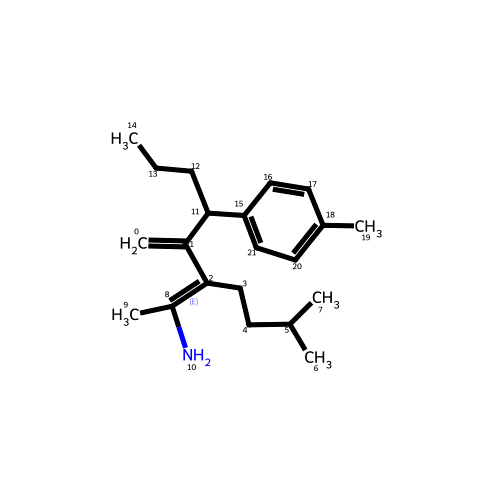 C=C(/C(CCC(C)C)=C(\C)N)C(CCC)c1ccc(C)cc1